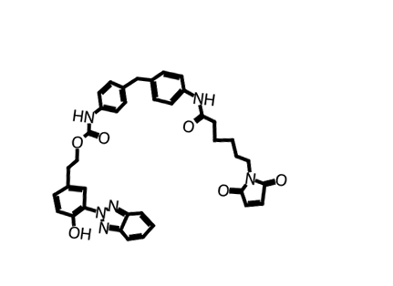 O=C(CCCCCN1C(=O)C=CC1=O)Nc1ccc(Cc2ccc(NC(=O)OCCc3ccc(O)c(-n4nc5ccccc5n4)c3)cc2)cc1